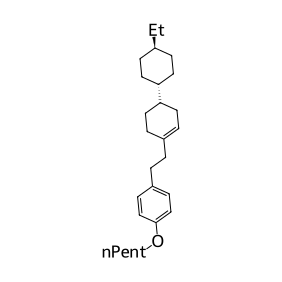 CCCCCOc1ccc(CCC2=CCC([C@H]3CC[C@H](CC)CC3)CC2)cc1